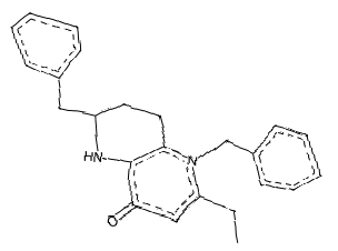 CCc1cc(=O)c2c(n1Cc1ccccc1)CCC(Cc1ccccc1)N2